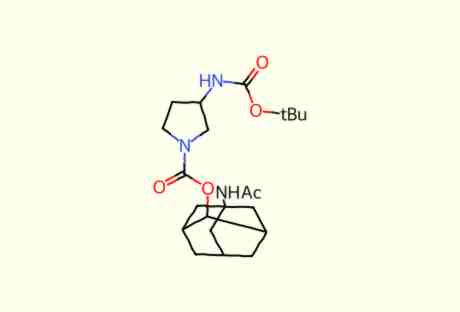 CC(=O)NC12CC3CC(C1)C(OC(=O)N1CCC(NC(=O)OC(C)(C)C)C1)C(C3)C2